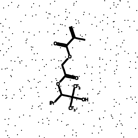 C=C(C)C(=O)OCC(=O)OC(C(C)C)C(O)(C(F)(F)F)C(F)(F)F